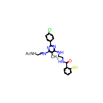 CC(=O)NCCNc1nc(-c2ccc(Cl)cc2)nc(NCCNC(=O)c2ccccc2S)c1C